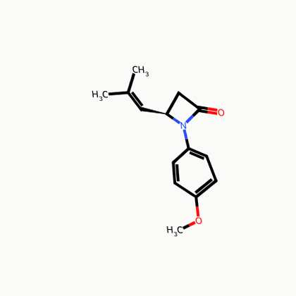 COc1ccc(N2C(=O)C[C@@H]2C=C(C)C)cc1